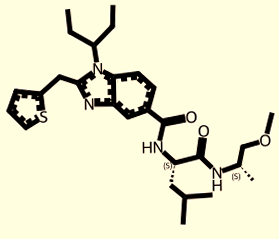 CCC(CC)n1c(Cc2cccs2)nc2cc(C(=O)N[C@@H](CC(C)C)C(=O)N[C@@H](C)COC)ccc21